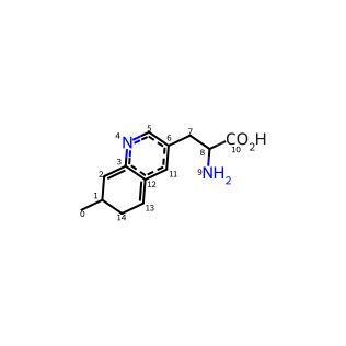 CC1C=c2ncc(CC(N)C(=O)O)cc2=CC1